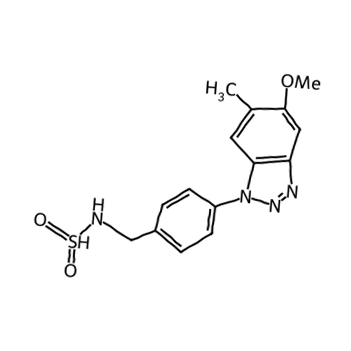 COc1cc2nnn(-c3ccc(CN[SH](=O)=O)cc3)c2cc1C